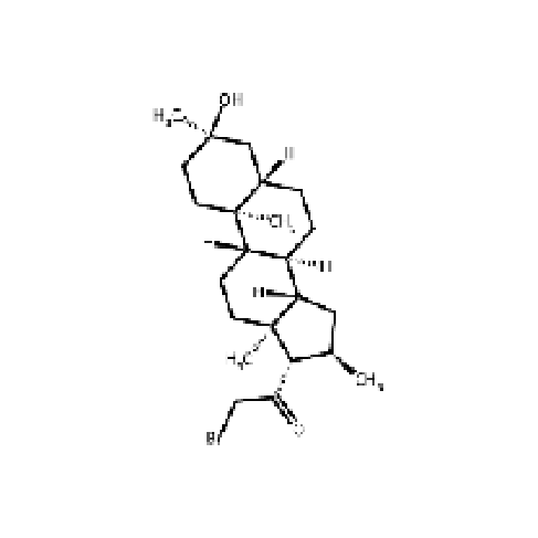 C[C@@H]1C[C@H]2[C@@H]3CC[C@H]4C[C@](C)(O)CC[C@]4(C)[C@H]3CC[C@]2(C)[C@H]1C(=O)CBr